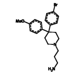 COc1ccc(C2(c3ccc(Br)cc3)CCN(CCCN)CC2)cc1